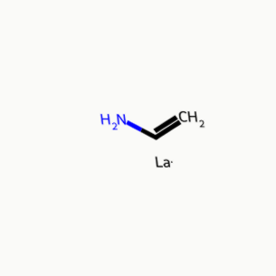 C=CN.[La]